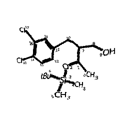 CC(O[Si](C)(C)C(C)(C)C)C(CO)Cc1ccc(Cl)c(Cl)c1